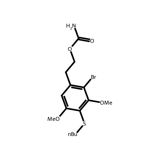 CCCCSc1c(OC)cc(CCOC(N)=O)c(Br)c1OC